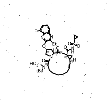 CCc1nc2cccc(F)c2nc1O[C@@H]1C[C@H]2C(=O)N[C@]3(C(=O)NS(=O)(=O)C4CC4)C[C@H]3C=CCCCCC[C@H](N(C(=O)O)C(C)(C)C)C(=O)N2C1